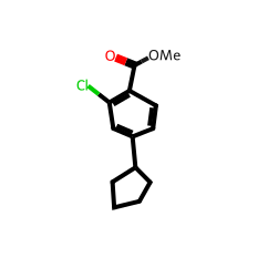 COC(=O)c1ccc(C2CCCC2)cc1Cl